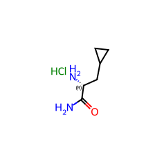 Cl.NC(=O)[C@H](N)CC1CC1